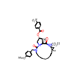 CCOC(=O)[C@@]12C[C@@H]1/C=C\CCCCCN(Cc1ccc(OC)cc1)C(=O)N1C[C@H](OC(=O)c3ccc([N+](=O)[O-])cc3)C[C@H]1C(=O)N2